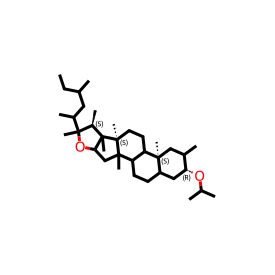 CCC(C)CC(C)C1(C)OC2CC3(C)C4CCC5C[C@@H](OC(C)C)C(C)C[C@]5(C)C4CC[C@]3(C)C2(C)[C@@H]1C